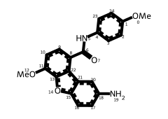 COc1ccc(NC(=O)c2ccc(OC)c3oc4ccc(N)cc4c23)cc1